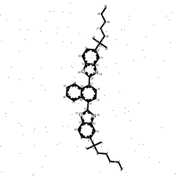 CCCCCC(C)(C)c1ccc2oc(-c3ccc(-c4nc5cc(C(C)(C)CCCCC)ccc5o4)c4ccccc34)nc2c1